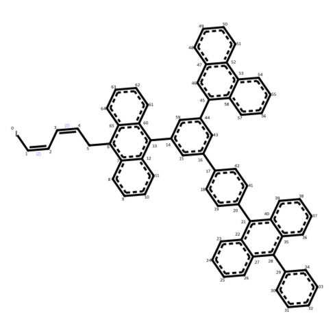 I/C=C\C=C/Cc1c2ccccc2c(-c2cc(-c3ccc(-c4c5ccccc5c(-c5ccccc5)c5ccccc45)cc3)cc(-c3cc4ccccc4c4ccccc34)c2)c2ccccc12